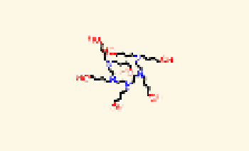 OCCCCN(CCCCO)CCN(CCCCO)CCN(CCCCO)CCN(CCCCO)CCN(CCCCO)CCCCO